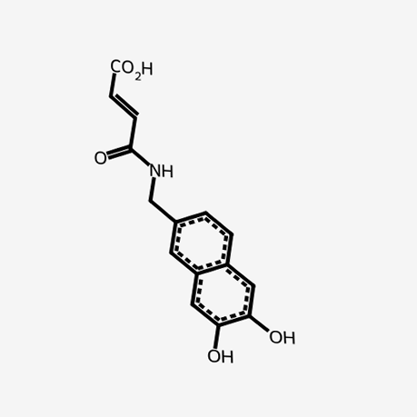 O=C(O)/C=C/C(=O)NCc1ccc2cc(O)c(O)cc2c1